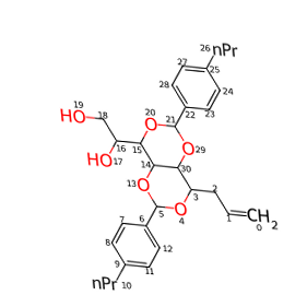 C=CCC1OC(c2ccc(CCC)cc2)OC2C(C(O)CO)OC(c3ccc(CCC)cc3)OC12